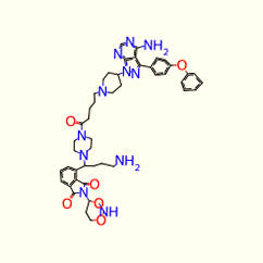 NCCCC(c1cccc2c1C(=O)N(C1CCONO1)C2=O)N1CCN(C(=O)CCCCN2CCC(n3nc(-c4ccc(Oc5ccccc5)cc4)c4c(N)ncnc43)CC2)CC1